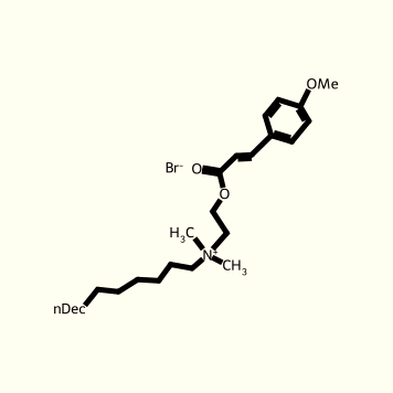 CCCCCCCCCCCCCCCC[N+](C)(C)CCOC(=O)C=Cc1ccc(OC)cc1.[Br-]